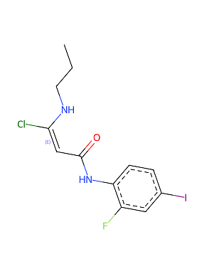 CCCN/C(Cl)=C\C(=O)Nc1ccc(I)cc1F